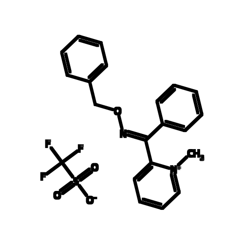 C[n+]1ccccc1C(=NOCc1ccccc1)c1ccccc1.O=S(=O)([O-])C(F)(F)F